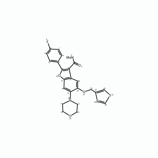 CNC(=O)c1c(-c2ccc(F)cc2)oc2cc(N3CCOCC3)c(OCc3cscn3)cc12